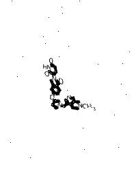 CN1CCc2c(cncc2CN2CC[C@H](Oc3ccc4c(c3)CN(C3CCC(=O)NC3=O)C4=O)C2)C1